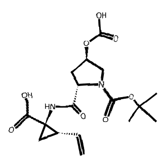 C=C[C@@H]1C[C@]1(NC(=O)[C@@H]1C[C@@H](OC(=O)O)CN1C(=O)OC(C)(C)C)C(=O)O